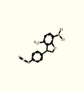 CCN(CC)c1ccc(C)c2c1OCC2c1ccc(N=C=S)cc1